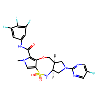 Cn1cc2c(c1C(=O)Nc1cc(F)c(F)c(F)c1)OC[C@H]1CN(c3ncc(F)cn3)C[C@H]1NS2(=O)=O